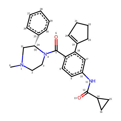 CN1CCN(C(=O)c2ccc(NC(=O)C3CC3)cc2C2=CCCC2)[C@@H](c2ccccc2)C1